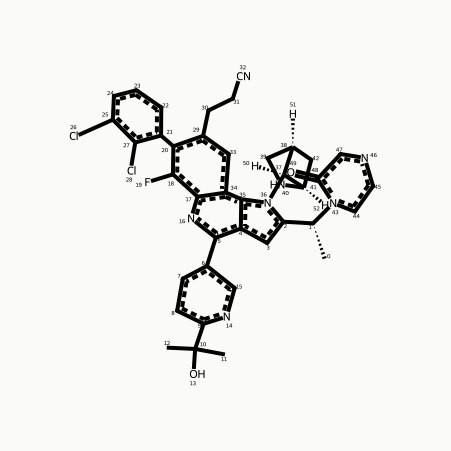 C[C@H](c1cc2c(-c3ccc(C(C)(C)O)nc3)nc3c(F)c(-c4cccc(Cl)c4Cl)c(CCC#N)cc3c2n1[C@H]1[C@H]2CN[C@@H]1C2)n1ccncc1=O